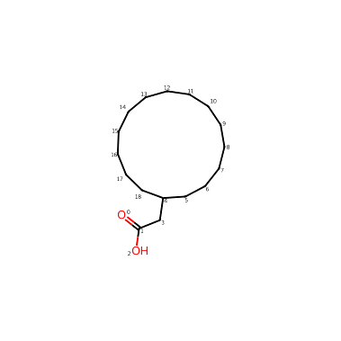 O=C(O)CC1CCCCCCCCCCCCCC1